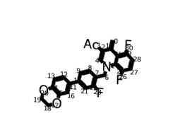 C=C1C(C(C)=O)=CN(Cc2ccc(-c3ccc4c(c3)OCCO4)cc2F)c2c(F)ccc(F)c21